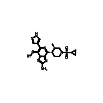 CC(C)Oc1c(-c2cn[nH]c2)nc([C@H]2CCN(S(=O)(=O)C3CC3)C[C@@H]2C)c2nc(N)nn12